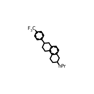 CCCC1CCc2c(ccc3c2CCC(c2ccc(C(F)(F)F)cc2)C3)C1